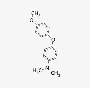 COc1ccc(Oc2ccc(N(C)C)cc2)cc1